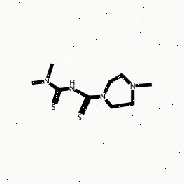 CN1CCN(C(=S)NC(=S)N(C)C)CC1